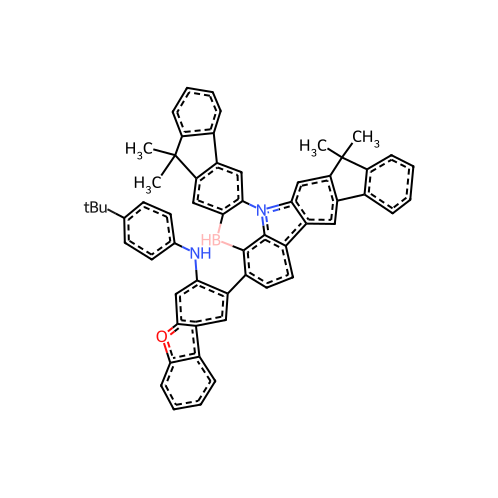 CC(C)(C)c1ccc(Nc2cc3oc4ccccc4c3cc2-c2ccc3c4cc5c(cc4n4c3c2Bc2cc3c(cc2-4)-c2ccccc2C3(C)C)C(C)(C)c2ccccc2-5)cc1